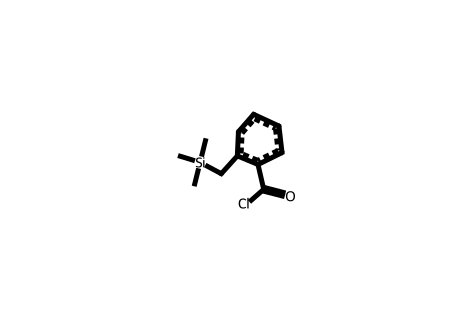 C[Si](C)(C)Cc1ccccc1C(=O)Cl